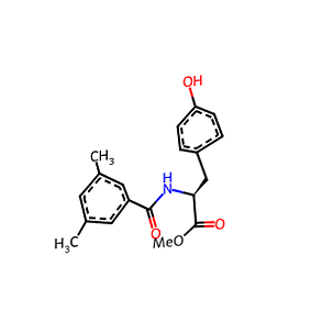 COC(=O)[C@H](Cc1ccc(O)cc1)NC(=O)c1cc(C)cc(C)c1